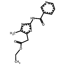 CCOC(=O)Cc1sc(NC(=O)c2cccnc2)nc1C